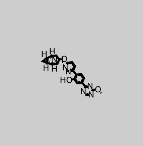 COc1ncnc(-c2ccc(-c3ccc(OC4C[C@@H]5N[C@H](C4)[C@H]4C[C@H]45)nn3)c(O)c2)n1